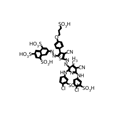 Cc1c(C#N)c(Nc2ccc(Cl)c(S(=O)(=O)O)c2)nc(Nc2ccc(Cl)c(S(=O)(=O)O)c2)c1N=Nc1sc(N=Nc2cc(S(=O)(=O)O)c3cc(S(=O)(=O)O)cc(S(=O)(=O)O)c3c2)c(-c2ccc(OCCCS(=O)(=O)O)cc2)c1C#N